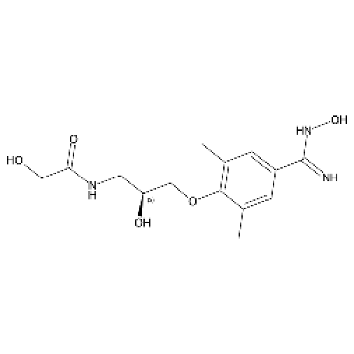 Cc1cc(C(=N)NO)cc(C)c1OC[C@@H](O)CNC(=O)CO